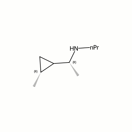 CCCN[C@H](C)C1C[C@H]1C